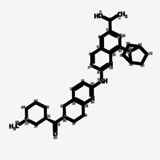 CC(O)c1cc2cnc(Nc3ccc4c(n3)CCN(C(=O)[C@@H]3CCCN(C)C3)C4)nc2c(N2C3CCC2CC3)n1